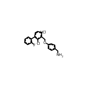 Cl.NCc1ccc(OCc2cccc(-c3ccccc3F)c2Cl)cc1